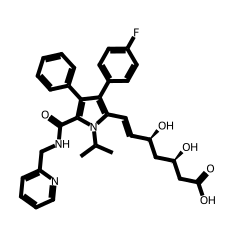 CC(C)n1c(C=C[C@@H](O)C[C@@H](O)CC(=O)O)c(-c2ccc(F)cc2)c(-c2ccccc2)c1C(=O)NCc1ccccn1